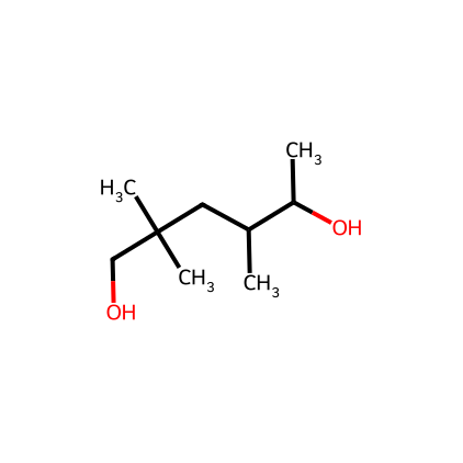 CC(O)C(C)CC(C)(C)CO